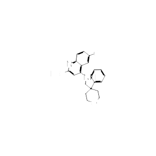 FC(F)(F)c1cc(NCC2(c3ccccc3)CCOCC2)c2cc(Cl)ccc2n1